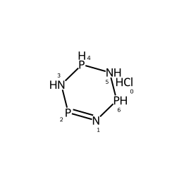 Cl.n1p[nH][pH][nH][pH]1